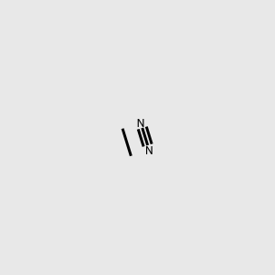 CC.N#N